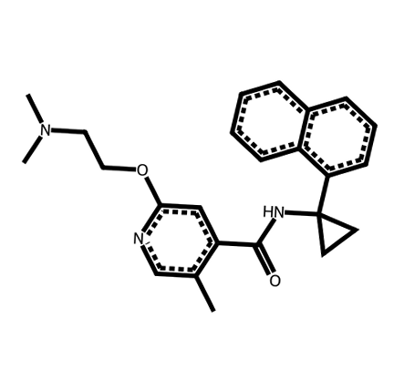 Cc1cnc(OCCN(C)C)cc1C(=O)NC1(c2cccc3ccccc23)CC1